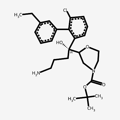 CCc1cccc(-c2c(Cl)cccc2[C@](O)(CCCN)C2CN(C(=O)OC(C)(C)C)CCO2)c1